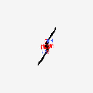 CCCCCCCCCCCCCCCCCCNC(=O)c1ccc(C2C(O)[C@@]3(O)C(c4ccc(C(=O)NCCCCCCCCCCCCCCCCCC)cc4)[C@@](O)([C@H](O)CO)[C@@]23O)cc1